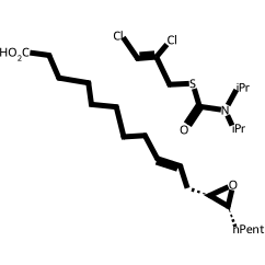 CC(C)N(C(=O)SC/C(Cl)=C/Cl)C(C)C.CCCCC[C@H]1O[C@H]1C/C=C/CCCCCCCC(=O)O